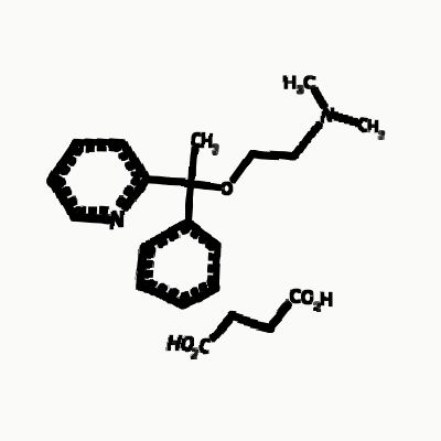 CN(C)CCOC(C)(c1ccccc1)c1ccccn1.O=C(O)CCC(=O)O